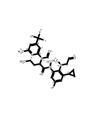 CCCC(C(=O)N(C)c1cc(F)cc(C2CC2)c1N(C)CC=O)N(C=O)c1cc(C(F)(F)F)cc(C)n1